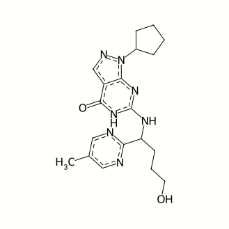 Cc1cnc(C(CCCO)Nc2nc3c(cnn3C3CCCC3)c(=O)[nH]2)nc1